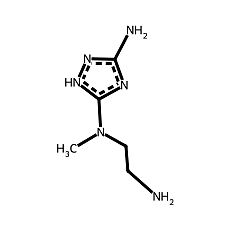 CN(CCN)c1nc(N)n[nH]1